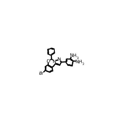 Nc1ccc(-c2cc3n(n2)C(c2ccccc2)Oc2cc(Br)ccc2-3)cc1N